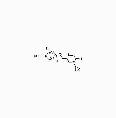 O=C(O)N1C[C@H]2C[C@@H]1C[C@@H]2OCc1cc(C2CC2)c(Cl)cn1